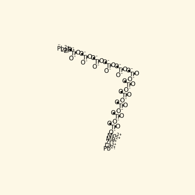 [La+3].[La+3].[Mn+2].[Mn+2].[O]=[Ti]([O-])[O-].[O]=[Ti]([O-])[O-].[O]=[Ti]([O-])[O-].[O]=[Ti]([O-])[O-].[O]=[Ti]([O-])[O-].[O]=[Ti]([O-])[O-].[O]=[Ti]([O-])[O-].[O]=[Ti]([O-])[O-].[O]=[Ti]([O-])[O-].[O]=[Ti]([O-])[O-].[O]=[Ti]([O-])[O-].[Pb+2].[Pb+2].[Zr+4].[Zr+4]